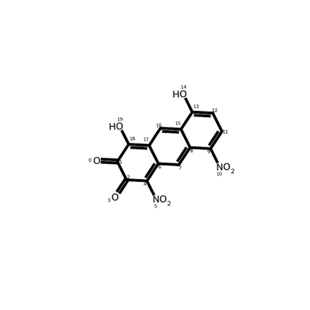 O=C1C(=O)C([N+](=O)[O-])=c2cc3c([N+](=O)[O-])ccc(O)c3cc2=C1O